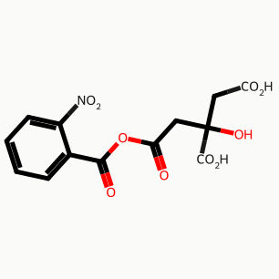 O=C(O)CC(O)(CC(=O)OC(=O)c1ccccc1[N+](=O)[O-])C(=O)O